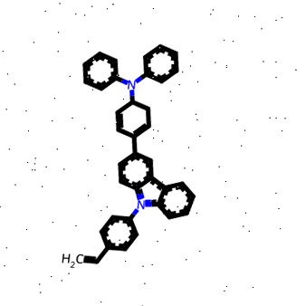 C=Cc1ccc(-n2c3ccccc3c3cc(C4=CCC(N(c5ccccc5)c5ccccc5)C=C4)ccc32)cc1